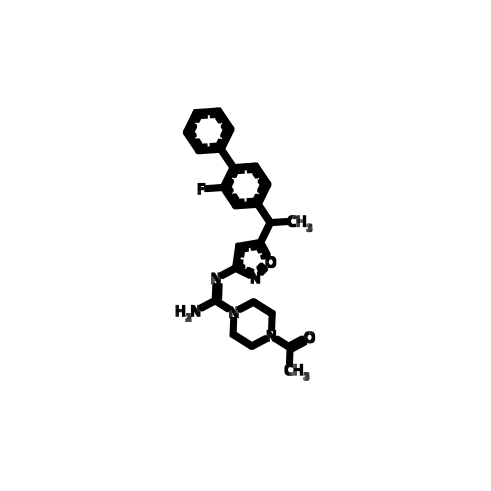 CC(=O)N1CCN(/C(N)=N\c2cc(C(C)c3ccc(-c4ccccc4)c(F)c3)on2)CC1